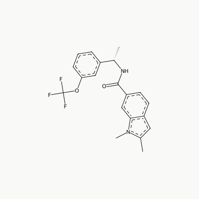 Cc1cc2ccc(C(=O)N[C@@H](C)c3cccc(OC(F)(F)F)c3)cc2n1C